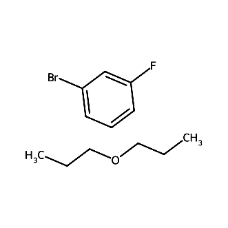 CCCOCCC.Fc1cccc(Br)c1